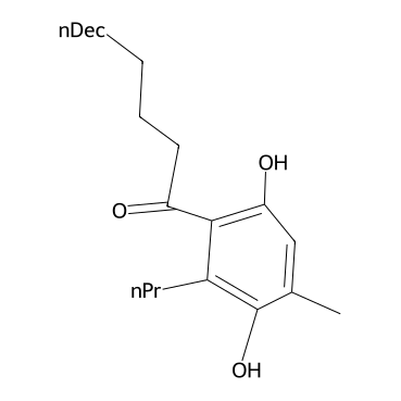 CCCCCCCCCCCCCC(=O)c1c(O)cc(C)c(O)c1CCC